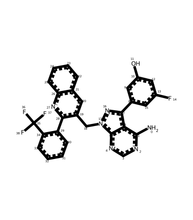 Nc1ncnc2c1c(-c1cc(O)cc(F)c1)nn2Cc1cc2ccccc2nc1-c1ccccc1C(F)(F)F